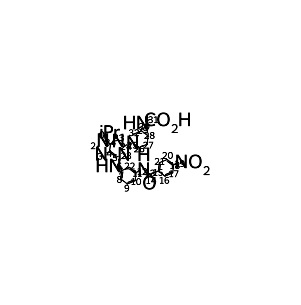 CC(C)n1cnc2c(Nc3cccc(NC(=O)c4ccc([N+](=O)[O-])cc4)c3)nc(N3CCCC(NC(=O)O)C3)nc21